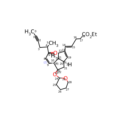 CC#CCC(C)C(=O)/C=C\[C@H]1[C@H]2CC(C=CCCC(=O)OCC)=C[C@H]2C[C@H]1OC1CCCCO1